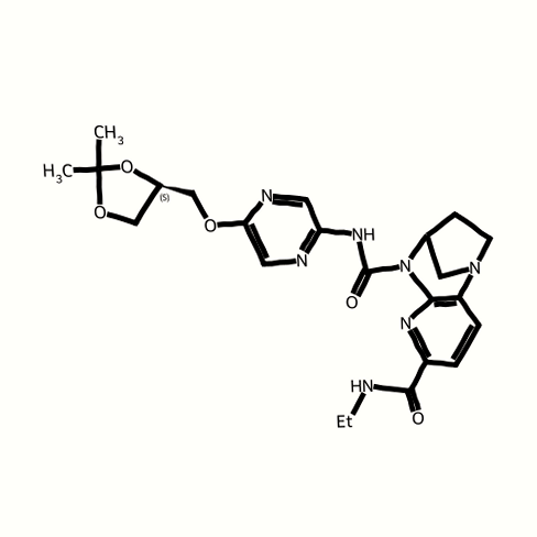 CCNC(=O)c1ccc2c(n1)N(C(=O)Nc1cnc(OC[C@H]3COC(C)(C)O3)cn1)C1CCN2C1